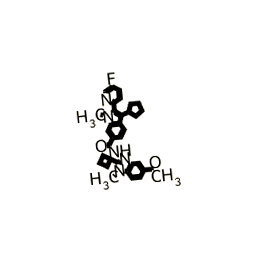 CC(=O)c1ccc2c(c1)nc(C1(NC(=O)c3ccc4c(C5CCCC5)c(-c5ccc(F)cn5)n(C)c4c3)CCC1)n2C